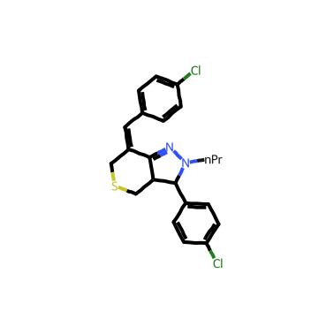 CCCN1N=C2/C(=C\c3ccc(Cl)cc3)CSCC2C1c1ccc(Cl)cc1